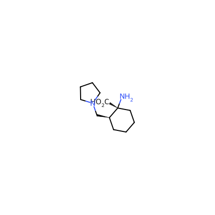 N[C@]1(C(=O)O)CCCC[C@H]1CN1CCCC1